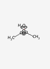 CCCCCCCCOC(=O)c1ccccc1C(=O)OCCCCCCCC.O.c1ccc(-c2ccccc2)cc1